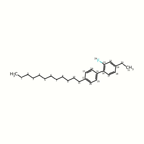 CCCCCCCCCCCCc1ccc(-c2ccc(CC)cc2F)cc1